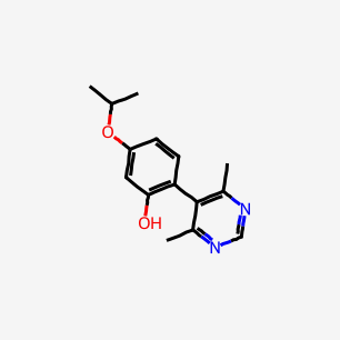 Cc1ncnc(C)c1-c1ccc(OC(C)C)cc1O